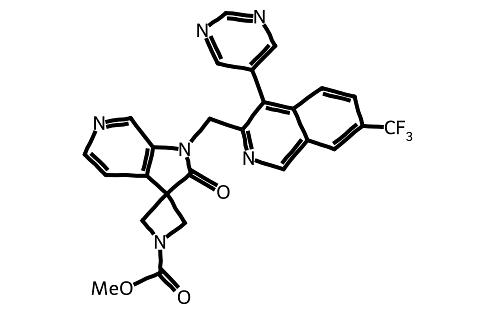 COC(=O)N1CC2(C1)C(=O)N(Cc1ncc3cc(C(F)(F)F)ccc3c1-c1cncnc1)c1cnccc12